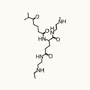 CCNCCNC(=O)CCC(NC(=O)CCCC(=O)C(C)C)C(=O)NCCNC